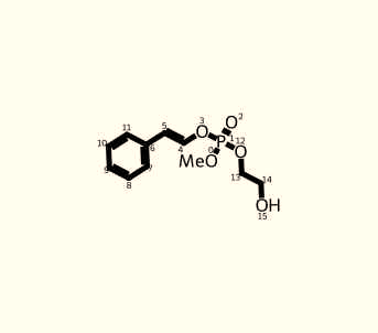 COP(=O)(OC=Cc1ccccc1)OCCO